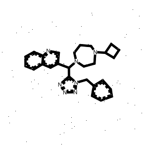 c1ccc(Cn2nnnc2C(c2cnc3ccccc3c2)N2CCCN(C3CCC3)CC2)cc1